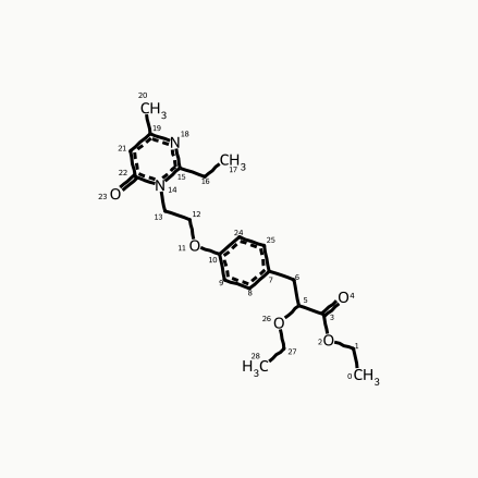 CCOC(=O)C(Cc1ccc(OCCn2c(CC)nc(C)cc2=O)cc1)OCC